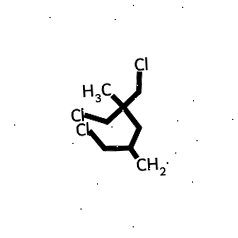 [CH2]C(CCl)CC(C)(CCl)CCl